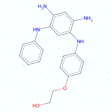 Nc1cc(N)c(Nc2ccc(OCCO)cc2)cc1Nc1ccccc1